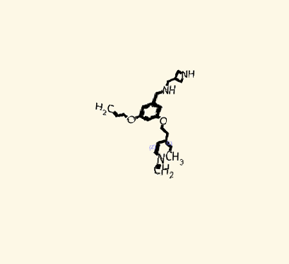 C=CCOc1cc(CNCC2CNC2)cc(OCCC(/C=C\N=C)=C/C)c1